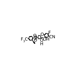 C#Cc1cc(C(F)(F)F)ccc1S(=O)(=O)N1CC(Oc2ccc(C#N)c(F)c2)[C@](O)(CO)C1